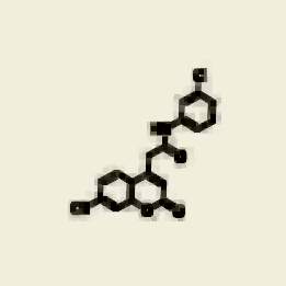 [C-]#[N+]c1ccc2c(CC(=O)Nc3cccc(Cl)c3)cc(=O)oc2c1